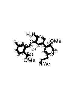 CNCCc1cc(-c2cnc(N)c(O[C@H](C)c3cc(F)ccc3C(=O)OC)c2)c(OC)cn1